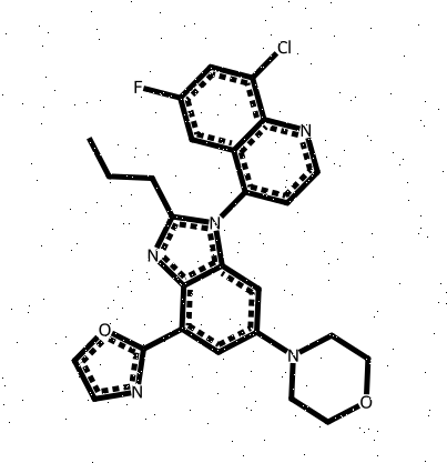 CCCc1nc2c(-c3ncco3)cc(N3CCOCC3)cc2n1-c1ccnc2c(Cl)cc(F)cc12